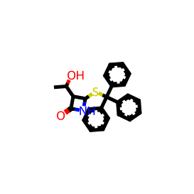 CC(O)C1C(=O)NC1SC(c1ccccc1)(c1ccccc1)c1ccccc1